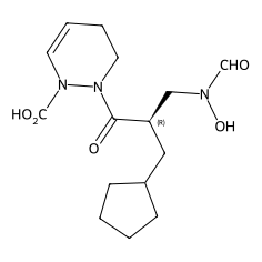 O=CN(O)C[C@@H](CC1CCCC1)C(=O)N1CCC=CN1C(=O)O